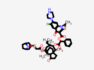 C=C[C@@]1(C)C[C@H](OC(=O)CSC2CC3CCC(C2)N3C)[C@@]2(C)C(C)CCC3(CCC(=O)C32)[C@H](C)[C@@H]1OC(=O)C(OC(=O)c1c2n(c3cc(N4CCNCC4)c(F)cc3c1=O)C(C)S2)c1ccccc1